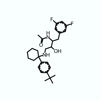 CC(=O)NC(Cc1cc(F)cc(F)c1)C(O)CNC1(c2ccc(C(C)(C)C)cc2)CCCCC1